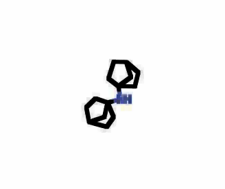 C1CC2(NC34CCC(CC3)C4)CCC1C2